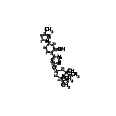 Cc1ccn(-c2ccc(-c3nnc(OC4CC5C(C)CC(C)C(C)(C4)N5C)s3)c(O)c2)n1